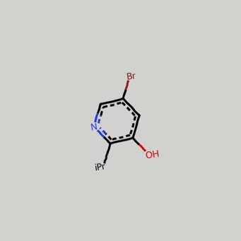 CC(C)c1ncc(Br)cc1O